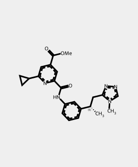 COC(=O)c1cc(C(=O)Nc2cccc([C@@H](C)Cc3nncn3C)c2)nc(C2CC2)c1